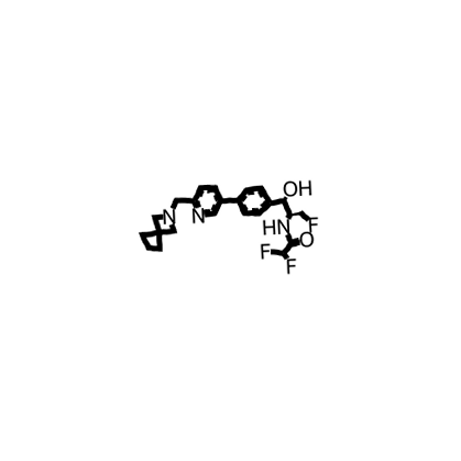 O=C(N[C@H](CF)[C@H](O)c1ccc(-c2ccc(CN3CC4(CCC4)C3)nc2)cc1)C(F)F